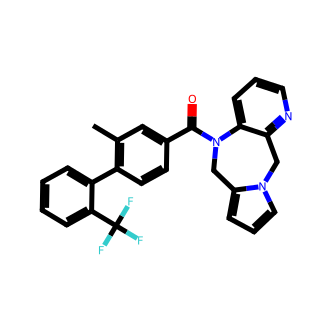 Cc1cc(C(=O)N2Cc3cccn3Cc3ncccc32)ccc1-c1ccccc1C(F)(F)F